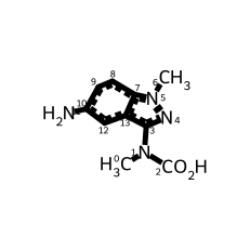 CN(C(=O)O)c1nn(C)c2ccc(N)cc12